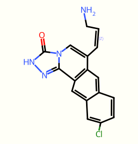 NC/C=C\c1cn2c(=O)[nH]nc2c2cc3cc(Cl)ccc3cc12